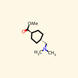 COC(=O)[C@H]1CC[C@H](CN(C)C)CC1